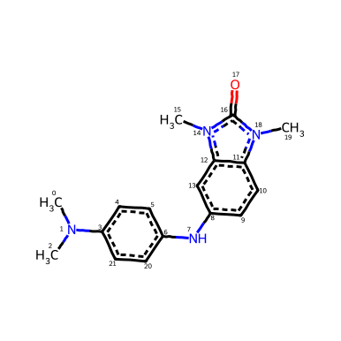 CN(C)c1ccc(Nc2ccc3c(c2)n(C)c(=O)n3C)cc1